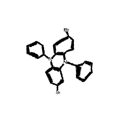 Brc1ccc2c(c1)N(c1ccccc1)c1ccc(Br)cc1N2c1ccccc1